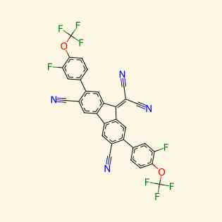 N#CC(C#N)=C1c2cc(-c3ccc(OC(F)(F)F)c(F)c3)c(C#N)cc2-c2cc(C#N)c(-c3ccc(OC(F)(F)F)c(F)c3)cc21